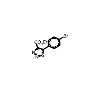 CCOC(=O)c1nnsc1-c1ccc(Br)cc1